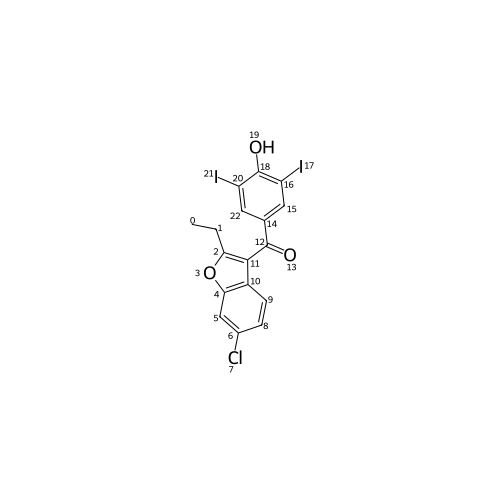 CCc1oc2cc(Cl)ccc2c1C(=O)c1cc(I)c(O)c(I)c1